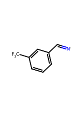 [N]=Cc1cccc(C(F)(F)F)c1